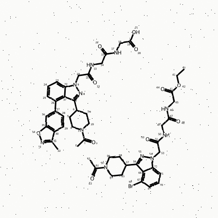 CC(=O)N1CCC(c2nn(CC(=O)NCC(=O)NCC(=O)O)c3cccc(-c4ccc5c(C)noc5c4)c23)CC1.CCOC(=O)CNC(=O)CNC(=O)Cn1nc(C2CCN(C(C)=O)CC2)c2c(Br)cccc21